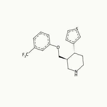 FC(F)(F)c1cccc(OC[C@@H]2CNCC[C@H]2c2ccsc2)c1